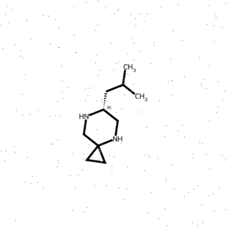 CC(C)C[C@@H]1CNC2(CC2)CN1